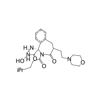 CC(C)CCC(=O)N1C(=O)C(CCN2CCOCC2)Cc2ccccc2[C@]1(N)C(=O)NO